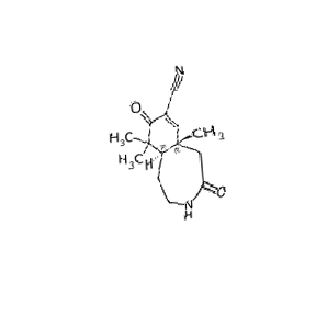 CC1(C)C(=O)C(C#N)=C[C@]2(C)CC(=O)NCC[C@@H]12